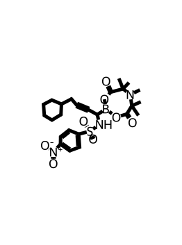 CN1C(C)(C)C(=O)OB(C(C#CCC2CCCCC2)NS(=O)(=O)c2ccc([N+](=O)[O-])cc2)OC(=O)C1(C)C